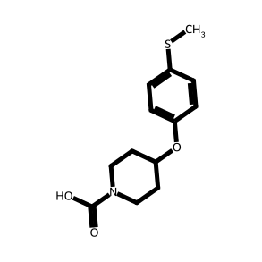 CSc1ccc(OC2CCN(C(=O)O)CC2)cc1